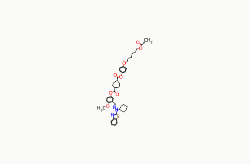 C=CC(=O)OCCCCCCOc1ccc(OC(=O)C2CCC(C(=O)Oc3ccc(OC)c(/C=N/N(c4nc5ccccc5s4)C4CCCCC4)c3)CC2)cc1